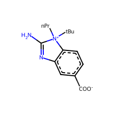 CCC[N+]1(C(C)(C)C)C(N)=Nc2cc(C(=O)[O-])ccc21